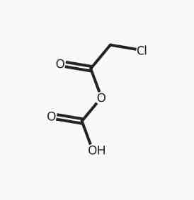 O=C(O)OC(=O)CCl